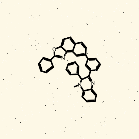 CN1c2ccccc2N=C(c2cccc(-c3ccc4ccc5oc(-c6ccccc6)nc5c4c3)c2)C1c1ccccc1